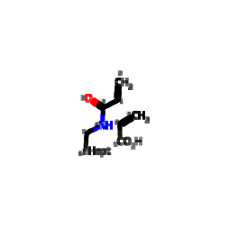 C=CC(=O)NCCCCCCCC.C=CC(=O)O